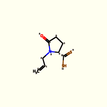 C=CCN1CCCC1=O.S=CS